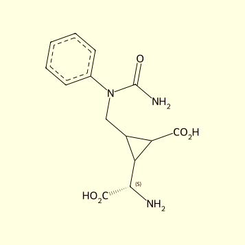 NC(=O)N(CC1C(C(=O)O)C1[C@H](N)C(=O)O)c1ccccc1